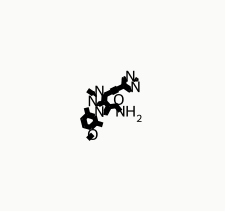 COc1ccc(C)c(-n2cc(C(N)=O)c3c(C#Cc4cncnc4)nc(C)nc32)c1C